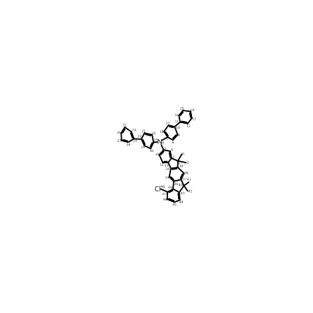 CC1(C)c2cc(N(c3ccc(-c4ccccc4)cc3)c3ccc(-c4ccccc4)cc3)ccc2-c2cc3c(cc21)C(C)(C)c1cccc(Cl)c1-3